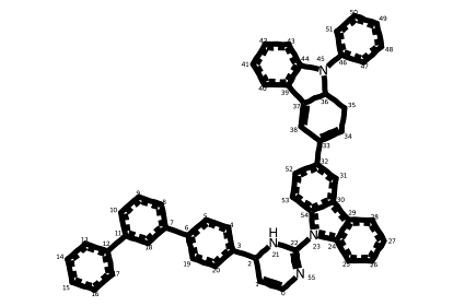 C1=CC(c2ccc(-c3cccc(-c4ccccc4)c3)cc2)NC(n2c3ccccc3c3cc(C4=CCC5C(=C4)c4ccccc4N5c4ccccc4)ccc32)=N1